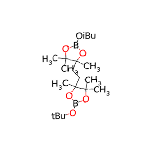 CC(C)COB1OC(C)(C)C(C)(CCC2(C)OB(OC(C)(C)C)OC2(C)C)O1